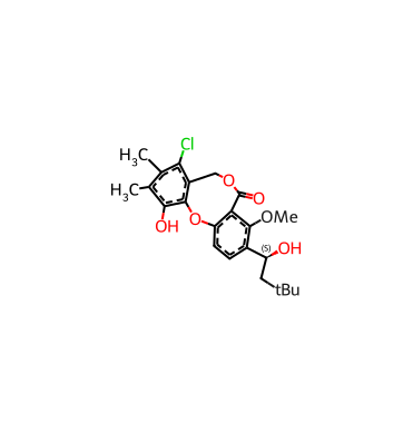 COc1c([C@@H](O)CC(C)(C)C)ccc2c1C(=O)OCc1c(Cl)c(C)c(C)c(O)c1O2